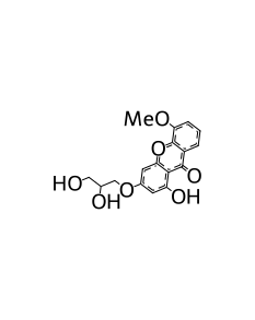 COc1cccc2c(=O)c3c(O)cc(OCC(O)CO)cc3oc12